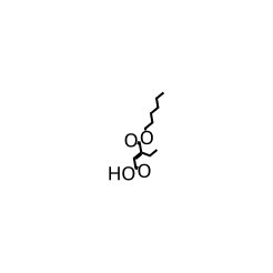 CCCCCCOC(=O)/C(=C/C(=O)O)CC